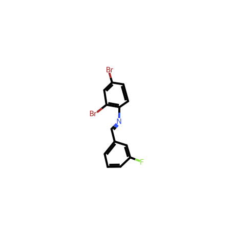 Fc1cccc(C=Nc2ccc(Br)cc2Br)c1